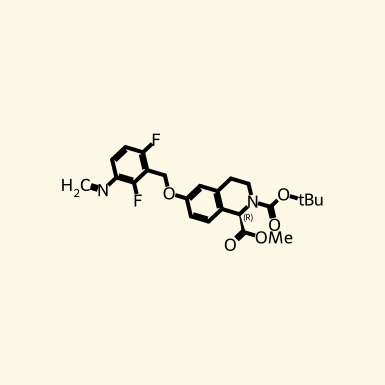 C=Nc1ccc(F)c(COc2ccc3c(c2)CCN(C(=O)OC(C)(C)C)[C@H]3C(=O)OC)c1F